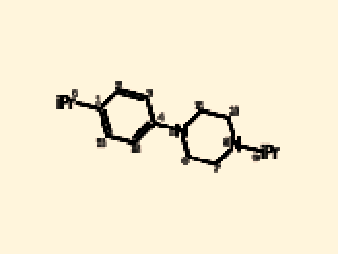 CC(C)c1ccc(N2CCN(C(C)C)CC2)cc1